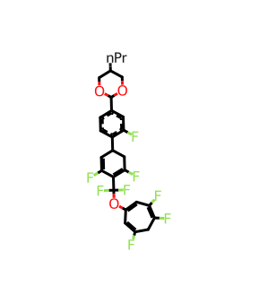 CCCC1COC(c2ccc(C3C=C(F)C(C(F)(F)OC4=CC(F)=C(F)CC(F)=C4)=C(F)C3)c(F)c2)OC1